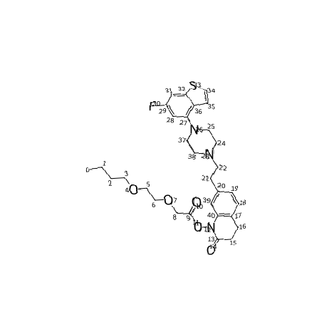 CCCCOCCOCC(=O)ON1C(=O)CCc2ccc(CCN3CCN(c4cc(F)cc5sccc45)CC3)cc21